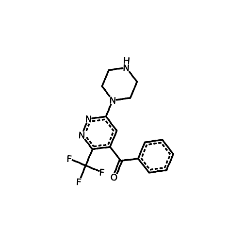 O=C(c1ccccc1)c1cc(N2CCNCC2)nnc1C(F)(F)F